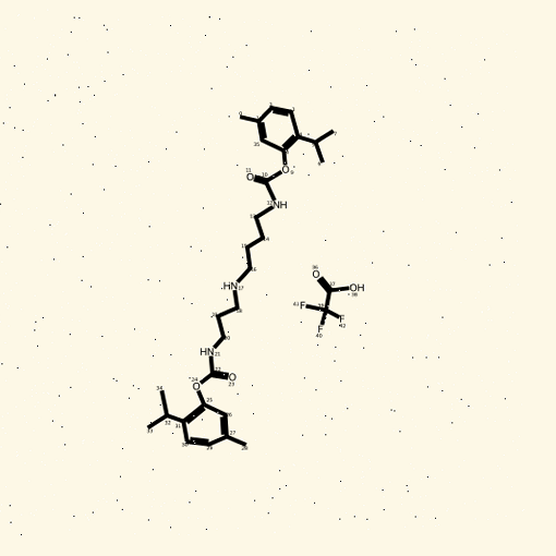 Cc1ccc(C(C)C)c(OC(=O)NCCCCNCCCNC(=O)Oc2cc(C)ccc2C(C)C)c1.O=C(O)C(F)(F)F